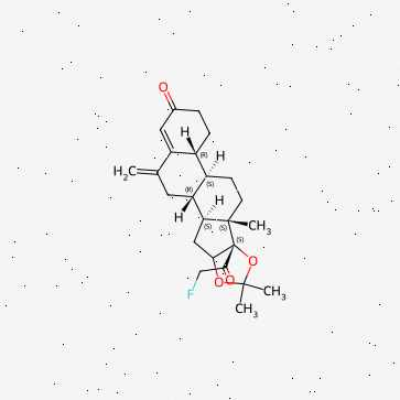 C=C1C[C@@H]2[C@H](CC[C@@]3(C)[C@H]2CC2OC(C)(C)O[C@]23C(=O)CF)[C@H]2CCC(=O)C=C12